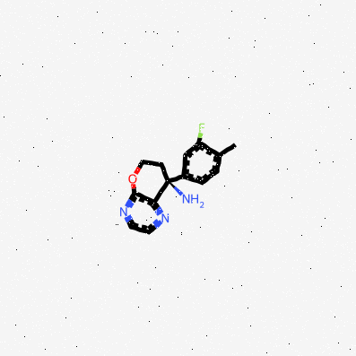 Cc1ccc([C@@]2(N)CCOc3nccnc32)cc1F